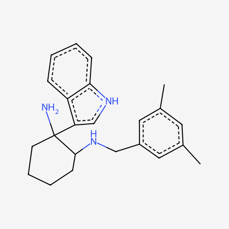 Cc1cc(C)cc(CNC2CCCCC2(N)c2c[nH]c3ccccc23)c1